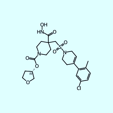 Cc1ccc(Cl)cc1C1=CCN(S(=O)(=O)CC2(C(=O)NO)CCN(C(=O)O[C@H]3CCOC3)CC2)CC1